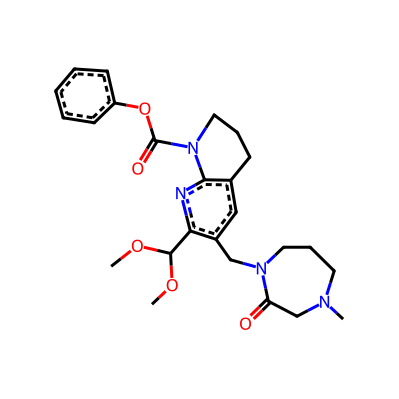 COC(OC)c1nc2c(cc1CN1CCCN(C)CC1=O)CCCN2C(=O)Oc1ccccc1